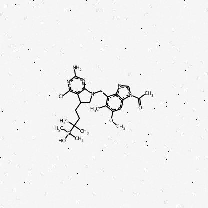 COc1cc2c(ncn2C(C)=O)c(CN2CC(CCC(C)(C)[Si](C)(C)O)c3c(Cl)nc(N)nc32)c1C